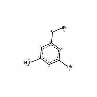 [CH2]c1cc(CC(C)C)cc(C(C)(C)C)c1